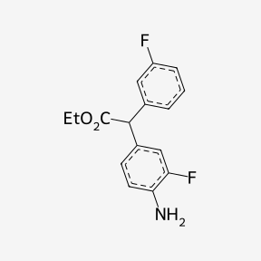 CCOC(=O)C(c1cccc(F)c1)c1ccc(N)c(F)c1